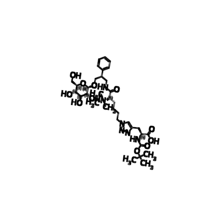 CC(C)(C)OC(=O)N[C@@H](Cc1cn(CCCC[C@@H](C(=O)NCC(CO[C@@H]2O[C@H](CO)[C@@H](O)[C@H](O)[C@H]2O)c2ccccc2)[N+](C)(C)C)nn1)C(=O)O